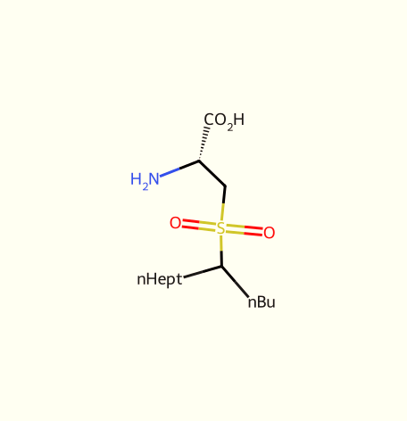 CCCCCCCC(CCCC)S(=O)(=O)C[C@H](N)C(=O)O